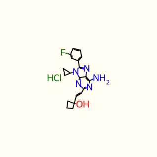 Cl.Nc1nc(C=CC2(O)CCC2)nc2c1nc(-c1cccc(F)c1)n2C1CC1